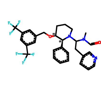 CN(C=O)C(Cc1cccnc1)N1CCC[C@H](OCc2cc(C(F)(F)F)cc(C(F)(F)F)c2)[C@@H]1c1ccccc1